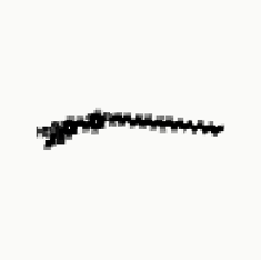 CCCCCCCCCCCCCCCCCCCCCCOc1ccc(C=Cc2ccc(S(=O)(=O)C(O)CC)cc2)cc1